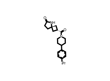 CC(C)c1ccc(C2CCN(C(=O)[C@H]3C[C@]4(CCC(=O)N4)C3)CC2)cc1